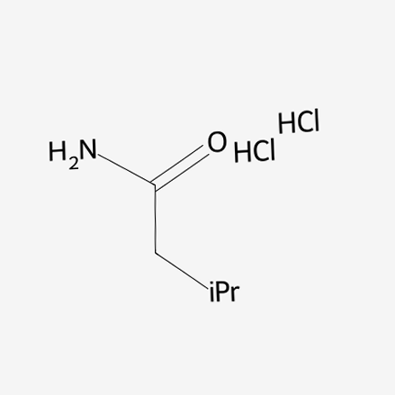 CC(C)CC(N)=O.Cl.Cl